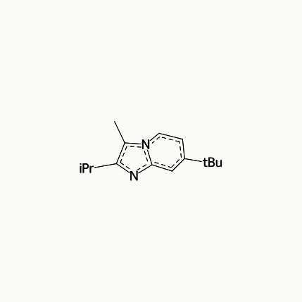 Cc1c(C(C)C)nc2cc(C(C)(C)C)ccn12